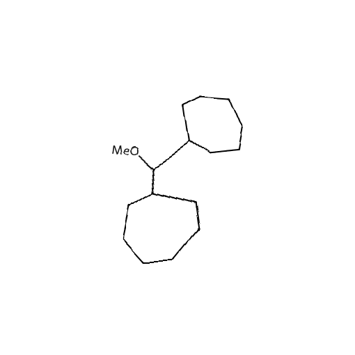 COC(C1CCCCCC1)C1CCCCCC1